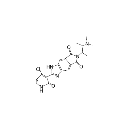 CC(C(C)N1C(=O)c2cc3nc(-c4c(Cl)cc[nH]c4=O)[nH]c3cc2C1=O)N(C)C